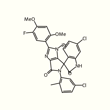 COc1cc(OC)c(-c2nc3c(n2C(C)C)C2(C(=O)Nc4cc(Cl)ccc42)N(c2cc(Cl)ccc2C)C3=O)cc1F